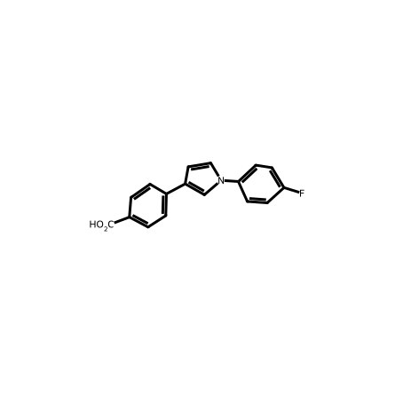 O=C(O)c1ccc(-c2ccn(-c3ccc(F)cc3)c2)cc1